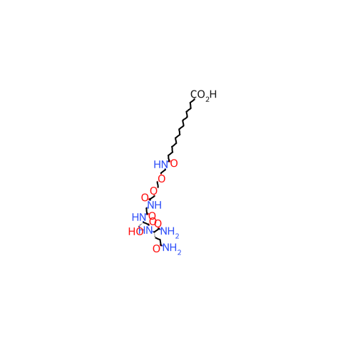 NC(=O)CC[C@H](NC(=O)[C@H](CO)NC(=O)CNC(=O)COCCOCCNC(=O)CCCCCCCCCCCCCCC(=O)O)C(N)=O